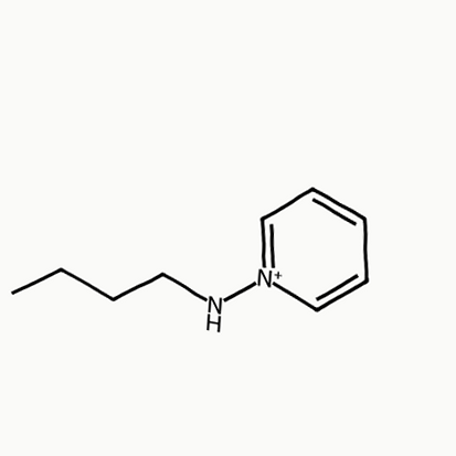 CCCCN[n+]1ccccc1